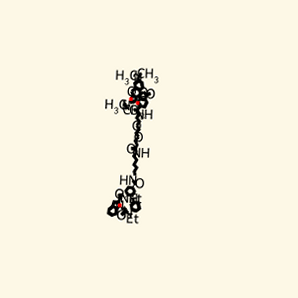 CCc1cccc(N(CC)C(=O)Cn2c(C(=O)N[C@H]3CC[C@H](C(=O)NCCCCCCNC(=O)CCOCCOCCNC(=O)c4ccc5c(c4)C4(OC5=O)c5ccc(N(C)C)cc5Oc5cc(N(C)C)ccc54)CC3)cc3ccccc32)c1